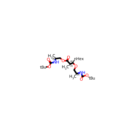 CCCCCC[C@@H](OC[C@@H](C)NC(=O)OC(C)(C)C)[C@H](C)C(=O)OC[C@@H](C)NC(=O)OC(C)(C)C